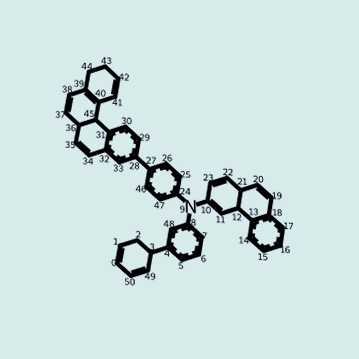 C1=CCC(c2cccc(N(C3=CC4c5ccccc5C=CC4C=C3)c3ccc(-c4ccc5c(c4)C=CC4C=CC6=C(C=CCC6)C54)cc3)c2)C=C1